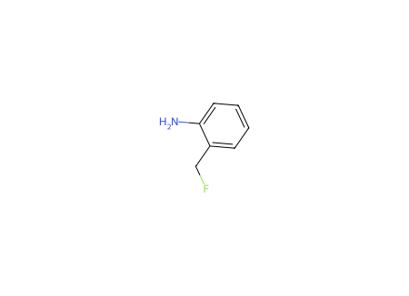 Nc1ccccc1CF